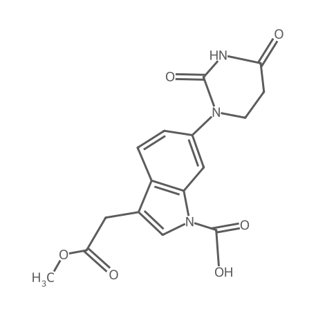 COC(=O)Cc1cn(C(=O)O)c2cc(N3CCC(=O)NC3=O)ccc12